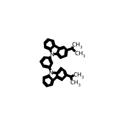 CC(C)c1ccc2c(c1)c1ccccc1n2-c1cccc(-n2c3ccccc3c3cc(C(C)C)ccc32)c1